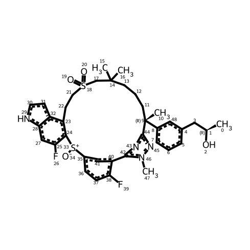 C[C@@H](O)Cc1cccc([C@@]2(C)CCCC(C)(C)CS(=O)(=O)CCc3c(c(F)cc4[nH]ccc34)[S+]([O-])c3ccc(F)c(c3)-c3nc2nn3C)c1